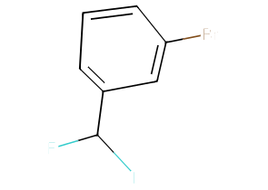 FC(F)c1cc[c]c(Br)c1